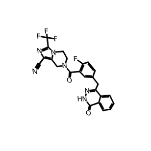 N#Cc1nc(C(F)(F)F)n2c1CN(C(=O)c1cc(Cc3n[nH]c(=O)c4ccccc34)ccc1F)CC2